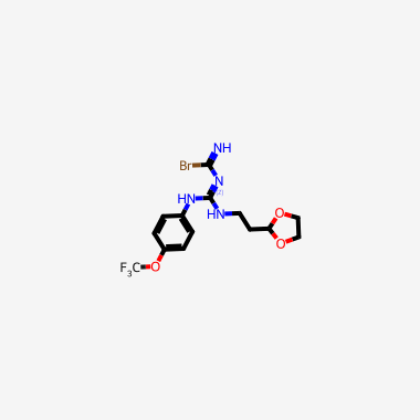 N=C(Br)/N=C(/NCCC1OCCO1)Nc1ccc(OC(F)(F)F)cc1